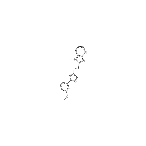 COc1cccc(-c2nc(CSc3nc4ncccc4n3C)no2)c1